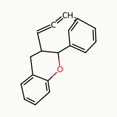 C=C=CC1Cc2ccccc2OC1c1ccccc1